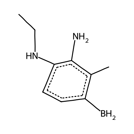 Bc1ccc(NCC)c(N)c1C